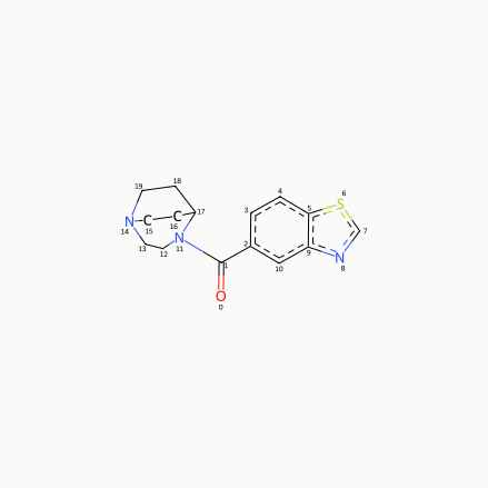 O=C(c1ccc2scnc2c1)N1CCN2CCC1CC2